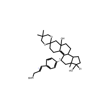 CCC1(O)CCC2C3CCC4(O)CC5(CCC4=C3[C@@H](c3ccc(/C=C/CNC)cc3)CC21C)OCC(C)(C)CO5